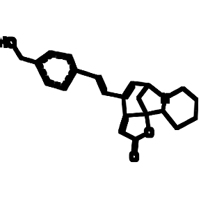 O=C1C=C2C(C=Cc3ccc(CO)cc3)=CC3CC2(O1)C1CCCCN31